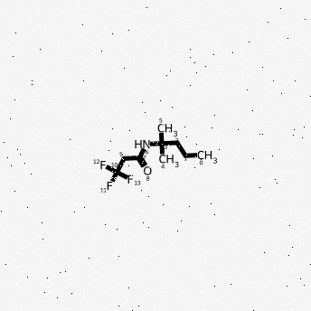 CCCC(C)(C)NC(=O)CC(F)(F)F